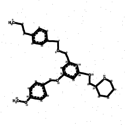 CCCc1ccc(COCc2cc(OCc3ccc(OC)cc3)cc(OCC3CCCCO3)n2)cc1